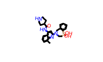 Cc1cccc2c(NC(=O)C3CCNCC3)cc(N3CCS(O)(O)c4ccccc4C3)nc12